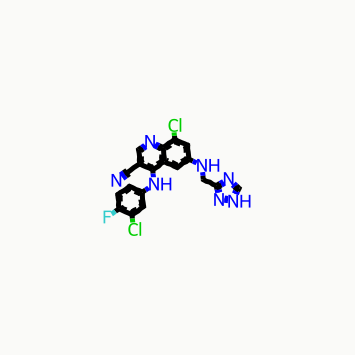 N#Cc1cnc2c(Cl)cc(NCc3nc[nH]n3)cc2c1Nc1ccc(F)c(Cl)c1